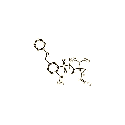 C=C[C@@H]1C[C@@]1(C(=O)NS(=O)(=O)c1cc(COc2ccccc2)ccc1NC)C(C)C